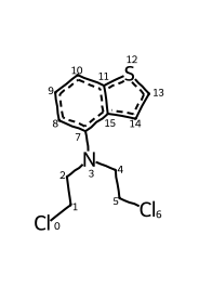 ClCCN(CCCl)c1cccc2sccc12